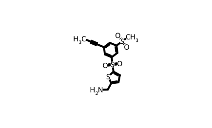 CC#Cc1cc(S(C)(=O)=O)cc(S(=O)(=O)c2ccc(CN)s2)c1